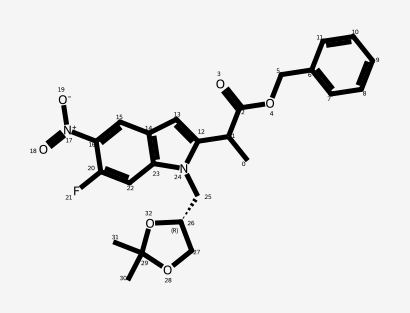 CC(C(=O)OCc1ccccc1)c1cc2cc([N+](=O)[O-])c(F)cc2n1C[C@@H]1COC(C)(C)O1